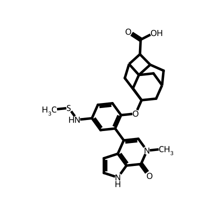 CSNc1ccc(OC23CC4CC5C(C(=O)O)C(C2)C5(C4)C3)c(-c2cn(C)c(=O)c3[nH]ccc23)c1